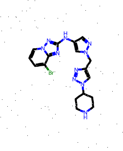 Brc1cccn2nc(Nc3cnn(Cc4cn(C5CCNCC5)nn4)c3)nc12